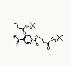 CCCC(=O)OOC(C)(C)C.CCCC(=O)OOC(C)(C)C.O=C(O)c1ccc(C(=O)O)cc1